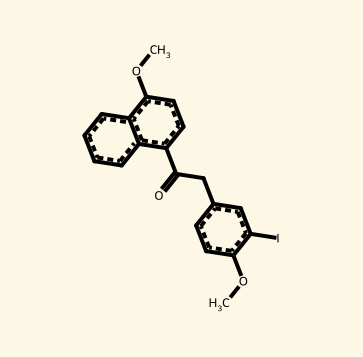 COc1ccc(CC(=O)c2ccc(OC)c3ccccc23)cc1I